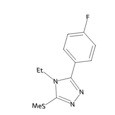 CCn1c(SC)nnc1-c1ccc(F)cc1